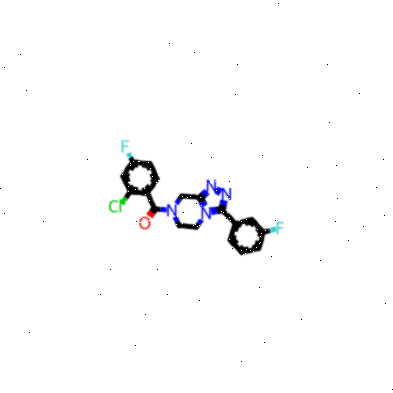 O=C(c1ccc(F)cc1Cl)N1CCn2c(nnc2-c2cccc(F)c2)C1